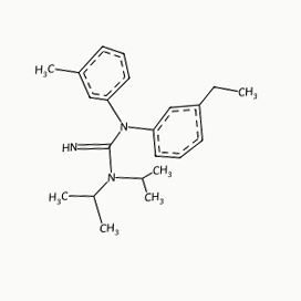 CCc1cccc(N(C(=N)N(C(C)C)C(C)C)c2cccc(C)c2)c1